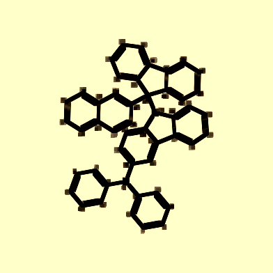 c1ccc(N(c2ccccc2)c2ccc3c(c2)c2ccccc2n3C2(c3ccc4ccccc4c3)c3ccccc3-c3ccccc32)cc1